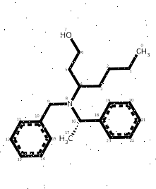 CCCCC(CCO)N(Cc1ccccc1)[C@@H](C)c1ccccc1